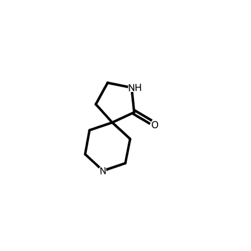 O=C1NCCC12CC[N]CC2